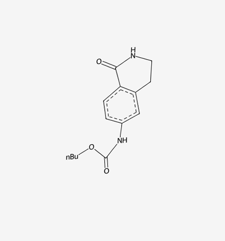 CCCCOC(=O)Nc1ccc2c(c1)CCNC2=O